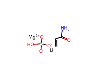 C=CC(N)=O.[Li+].[Mg+2].[O-][Si]([O-])([O-])O